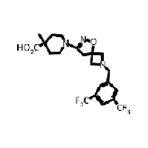 CC1(C(=O)O)CCN(C2=NOC3(C2)CN(Cc2cc(C(F)(F)F)cc(C(F)(F)F)c2)C3)CC1